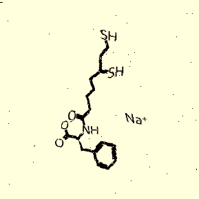 O=C(CCCCC(S)CCS)N[C@@H](Cc1ccccc1)C(=O)[O-].[Na+]